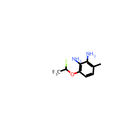 Cc1ccc(OC(F)C(F)(F)F)c(N)c1N